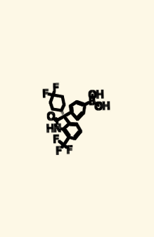 O=C1Nc2c(C(F)(F)F)cccc2[C@@]1(c1ccc(B(O)O)cc1)C1CCC(F)(F)CC1